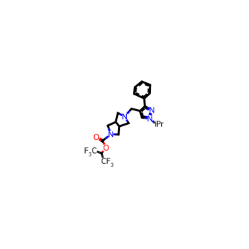 CC(C)n1cc(CN2CC3CN(C(=O)OC(C(F)(F)F)C(F)(F)F)CC3C2)c(-c2ccccc2)n1